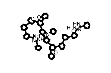 N=C(/N=C(\N)c1cccc(-c2cccc(-c3cccc(-c4cc(-c5ccc6c7ccc(-c8cc(-c9cccc(-c%10cccc(-c%11cccc(/C(N)=N/C(=N)c%12ccccc%12)c%11)c%10)c9)c9oc%10ccccc%10c9c8)cc7n(-c7ccccc7)c6c5)cc5c4oc4ccccc45)c3)c2)c1)c1ccccc1